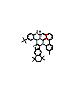 CC1=C[C@H]2Nc3ccc(C(C)(C)C)cc3B3c4oc5cc6c(cc5c4N(c4cc(C)ccc4-c4ccccc4)C(=C1)C32)C(C)(C)CCC6(C)C